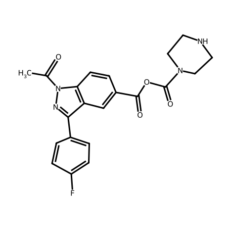 CC(=O)n1nc(-c2ccc(F)cc2)c2cc(C(=O)OC(=O)N3CCNCC3)ccc21